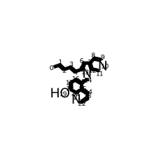 CC=CC=Cc1cc2ccncc2n1Cc1ccc(O)c2ncccc12